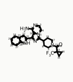 Nc1nccn2c(C3CCN(C(=O)C4(C(F)(F)F)CC4)CC3)nc(-c3cc4ccccc4[nH]3)c12